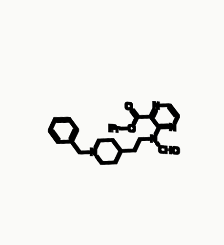 CC(C)OC(=O)c1nccnc1N(C=O)CCC1CCN(Cc2ccccc2)CC1